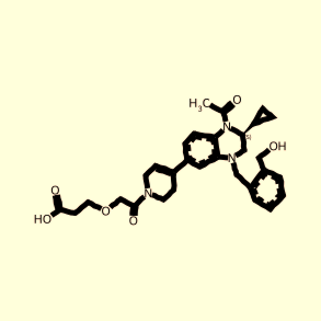 CC(=O)N1c2ccc(C3=CCN(C(=O)COCCC(=O)O)CC3)cc2N(Cc2ccccc2CO)C[C@@H]1C1CC1